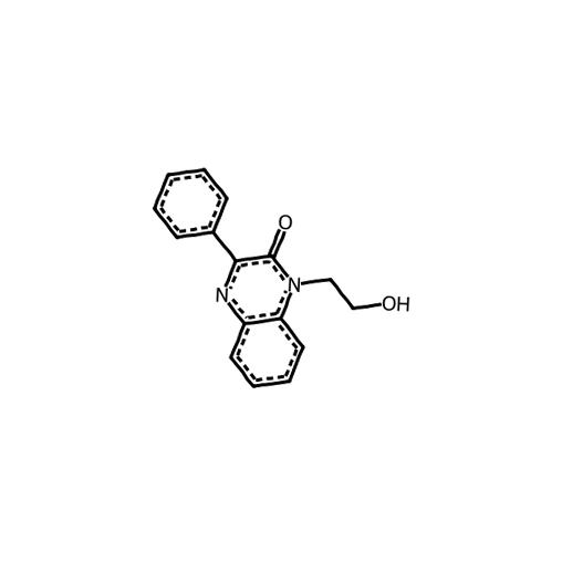 O=c1c(-c2ccccc2)nc2ccccc2n1CCO